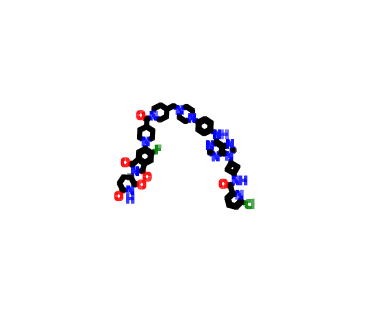 O=C1CC[C@H](N2C(=O)c3cc(F)c(N4CCC(C(=O)N5CCC(CN6CCN(c7ccc(Nc8ncnc9c8ncn9C8CC(NC(=O)c9cccc(Cl)n9)C8)cc7)CC6)CC5)CC4)cc3C2=O)C(=O)N1